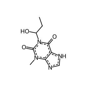 CCC(O)n1c(=O)c2[nH]cnc2n(C)c1=O